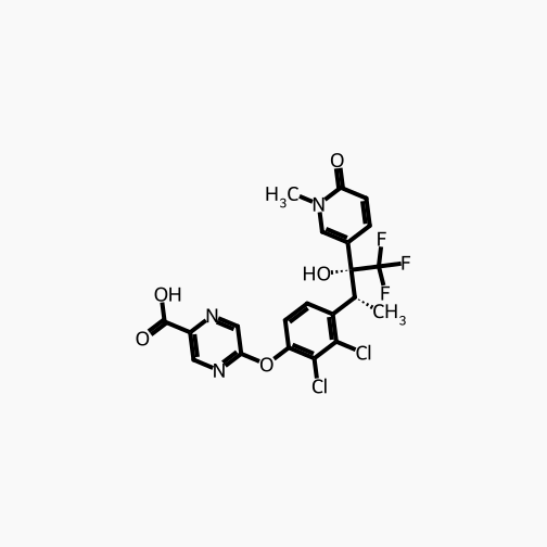 C[C@H](c1ccc(Oc2cnc(C(=O)O)cn2)c(Cl)c1Cl)[C@@](O)(c1ccc(=O)n(C)c1)C(F)(F)F